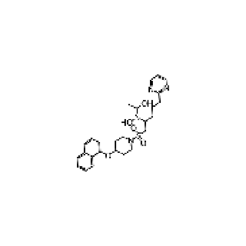 CC(O)N(O)C(CCCc1ncccn1)CS(=O)(=O)N1CCC(Oc2cccc3ccccc23)CC1